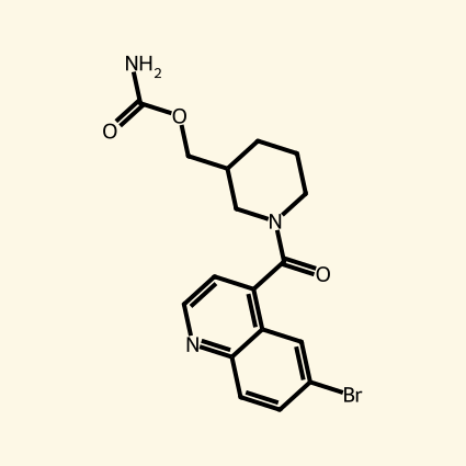 NC(=O)OCC1CCCN(C(=O)c2ccnc3ccc(Br)cc23)C1